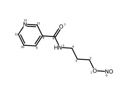 O=NOCCCNC(=O)c1cccnc1